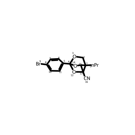 CCCC12COC(c3ccc(Br)cc3)(OC1)OC2C#N